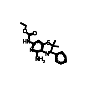 CCOC(=O)Nc1cc2c(c(N)n1)N=C(c1ccccc1)C(C)(C)S2